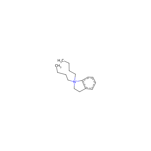 CCCC[N+]1(CCCC)CCc2ccccc21